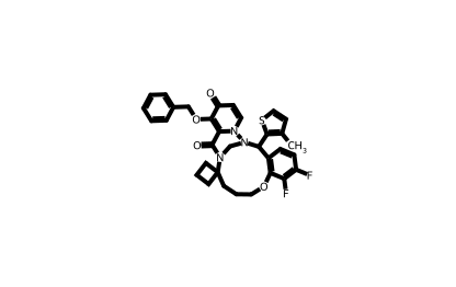 Cc1ccsc1C1c2ccc(F)c(F)c2OCCCC2(CCC2)N2CN1n1ccc(=O)c(OCc3ccccc3)c1C2=O